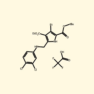 CCOC(=O)c1c(CNc2ccc(Cl)c(Cl)c2)[nH]c(C(=O)OC(C)(C)C)c1CC.O=C(O)C(F)(F)F